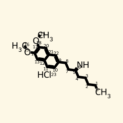 CCCCCC(=N)CCc1ccc2cc(OC)c(OC)cc2c1.Cl